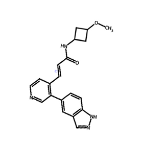 COC1CC(NC(=O)/C=C/c2ccncc2-c2ccc3[nH]ncc3c2)C1